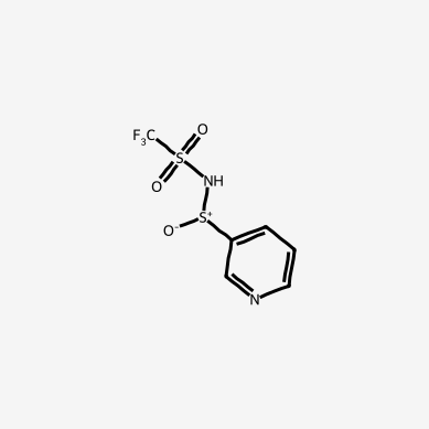 O=S(=O)(N[S+]([O-])c1cccnc1)C(F)(F)F